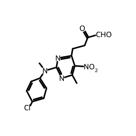 Cc1nc(N(C)c2ccc(Cl)cc2)nc(CCC(=O)C=O)c1[N+](=O)[O-]